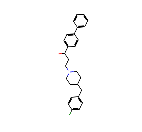 OC(CCN1CCC(Cc2ccc(Cl)cc2)CC1)c1ccc(-c2ccccc2)cc1